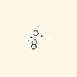 C=C[C@H]1c2ccccc2CCN1C(=O)[C@H]1C[C@H](NC(=O)OC(C)(C)C)C(SCC)CO1